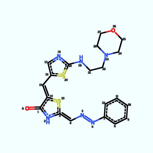 O=c1[nH]c(=CN=Nc2ccccc2)sc1=Cc1cnc(NCCN2CCOCC2)s1